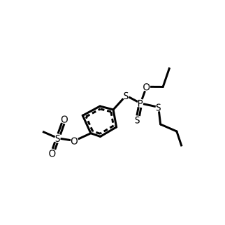 CCCSP(=S)(OCC)Sc1ccc(OS(C)(=O)=O)cc1